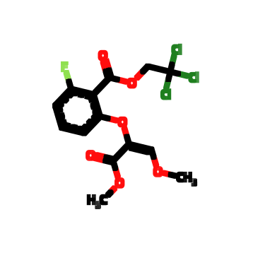 COC=C(Oc1cccc(F)c1C(=O)OCC(Cl)(Cl)Cl)C(=O)OC